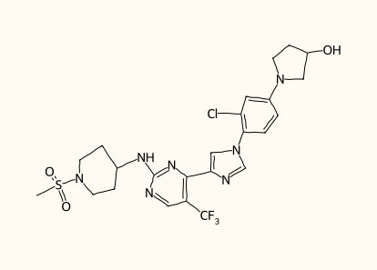 CS(=O)(=O)N1CCC(Nc2ncc(C(F)(F)F)c(-c3cn(-c4ccc(N5CCC(O)C5)cc4Cl)cn3)n2)CC1